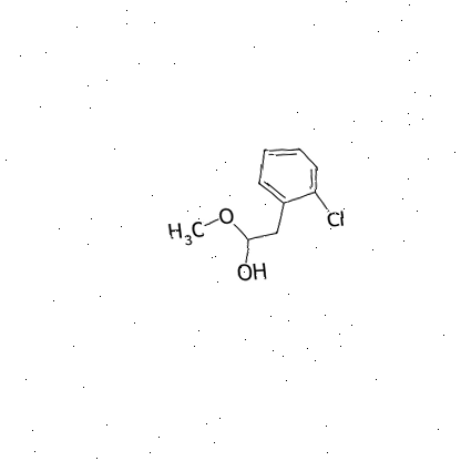 COC(O)Cc1ccccc1Cl